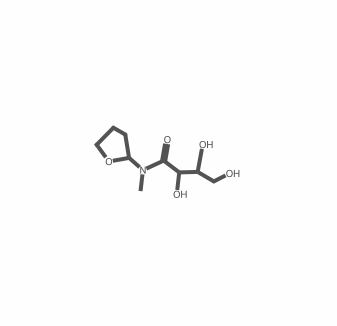 CN(C(=O)C(O)C(O)CO)C1CCCO1